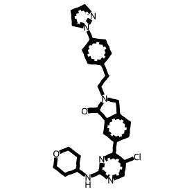 O=C1c2cc(-c3nc(NC4CCOCC4)ncc3Cl)ccc2CN1C[CH]c1ccc(-n2cccn2)cc1